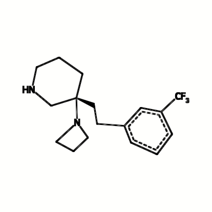 FC(F)(F)c1cccc(CC[C@]2(N3CCC3)CCCNC2)c1